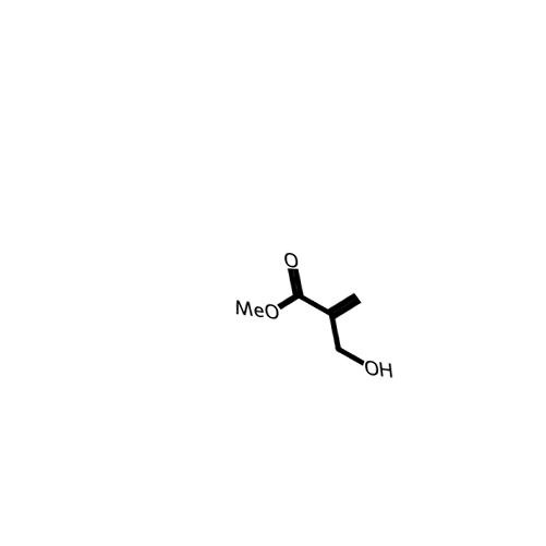 C=C(CO)C(=O)OC